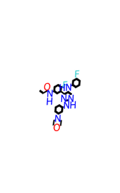 C=CC(=O)Nc1ccc(F)c(-c2nc(Nc3cccc(N4CCOCC4)c3)ncc2Nc2cccc(F)c2)c1